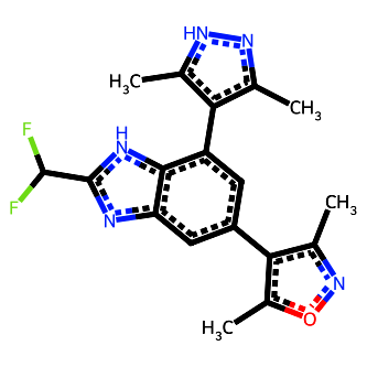 Cc1n[nH]c(C)c1-c1cc(-c2c(C)noc2C)cc2nc(C(F)F)[nH]c12